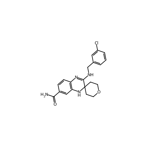 NC(=O)c1ccc2c(c1)NC1(CCOCC1)C(NCc1cccc(Cl)c1)=N2